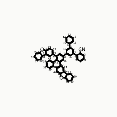 N#Cc1ccccc1-c1cc(-c2ccccc2)cc(-c2cc(-c3ccc4oc5ccccc5c4c3)c(-c3ccccc3)c(-c3ccc4oc5ccccc5c4c3)c2)c1